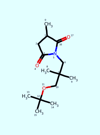 CC1CC(=O)N(CC(C)(C)COC(C)(C)C)C1=O